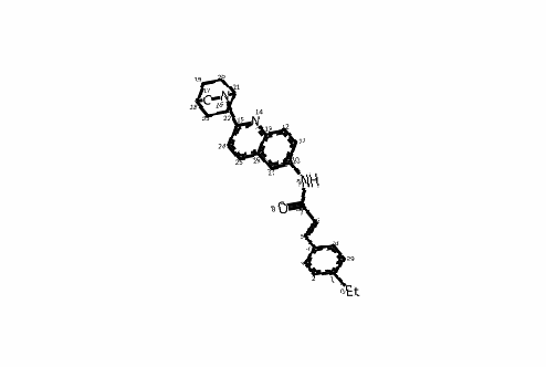 CCc1ccc(C=CC(=O)Nc2ccc3nc(N4CC5CCC4CC5)ccc3c2)cc1